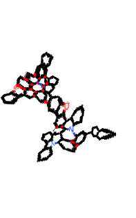 c1cc(-c2ccc3ccccc3c2)cc(N(c2ccccc2-c2ccccc2-n2c3ccccc3c3ccccc32)c2ccccc2-c2cccc3c2oc2cc(-c4ccc5c6ccccc6n(-c6ccccc6-c6ccccc6N(c6ccccc6-c6cccc7ccccc67)c6ccccc6-c6cccc7c6oc6ccccc67)c5c4)ccc23)c1